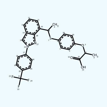 CC(Oc1ccc(SC(C)c2cccc3cn(-c4ccc(C(F)(F)F)cc4)nc23)cc1)C(=O)O